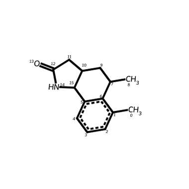 Cc1cccc2c1C(C)CC1CC(=O)NC21